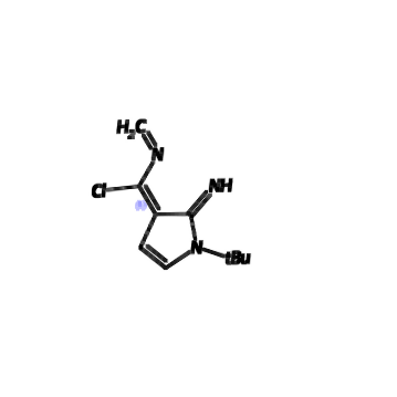 C=N/C(Cl)=C1/C=CN(C(C)(C)C)C1=N